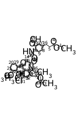 CCOC(=O)CCc1ccc(NC(=O)C[C@H]2O[C@H](c3cccc(OC)c3OC)c3cc(Cl)ccc3N(CC(C)(C)COC(C)=O)C2=O)c(OC)c1